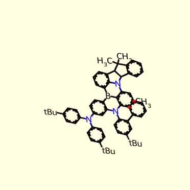 Cc1cc2c3c(c1)N1c4c(cccc4C4C1c1ccccc1C4(C)C)B3c1ccc(N(c3ccc(C(C)(C)C)cc3)c3ccc(C(C)(C)C)cc3)cc1N2c1ccc(C(C)(C)C)cc1-c1ccccc1